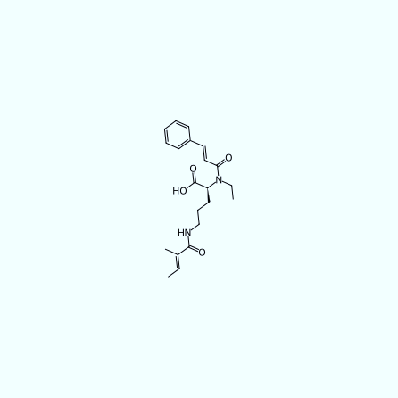 C/C=C(\C)C(=O)NCCC[C@@H](C(=O)O)N(CC)C(=O)C=Cc1ccccc1